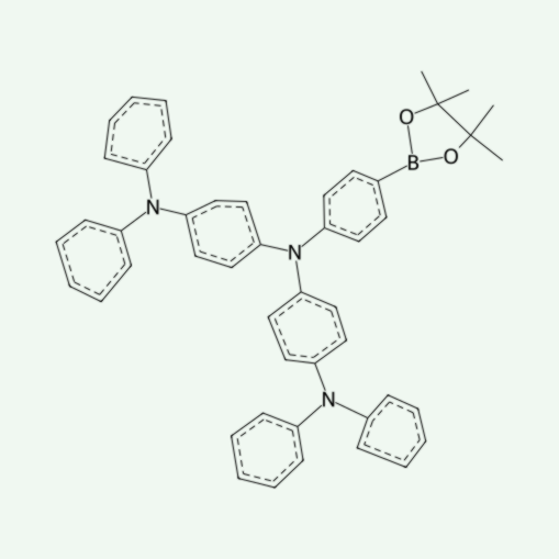 CC1(C)OB(c2ccc(N(c3ccc(N(c4ccccc4)c4ccccc4)cc3)c3ccc(N(c4ccccc4)c4ccccc4)cc3)cc2)OC1(C)C